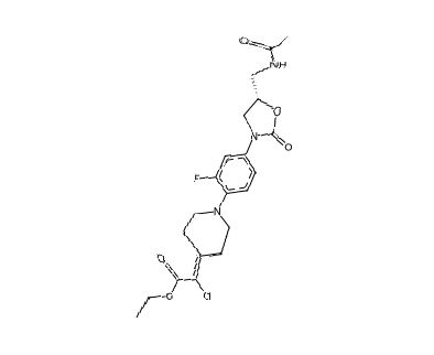 CCOC(=O)C(Cl)=C1CCN(c2ccc(N3C[C@H](CNC(C)=O)OC3=O)cc2F)CC1